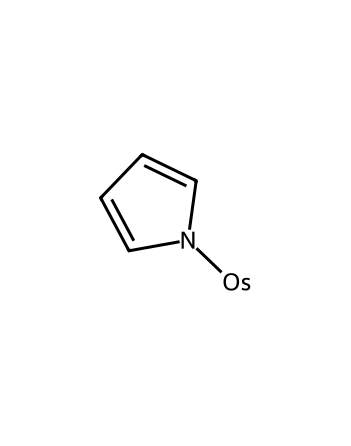 [Os][n]1cccc1